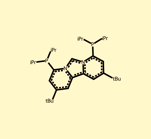 CC(C)P(c1cc(C(C)(C)C)cc2c3cc(C(C)(C)C)cc(P(C(C)C)C(C)C)[n+]3cn12)C(C)C